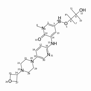 Cn1cc(BOC(C)(C)C(C)(C)O)cc(Nc2ccc(N3CCN(C4COC4)CC3)cn2)c1=O